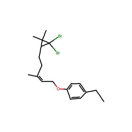 CCc1ccc(OCC=C(C)CCC2C(C)(C)C2(Br)Br)cc1